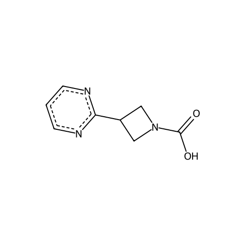 O=C(O)N1CC(c2ncccn2)C1